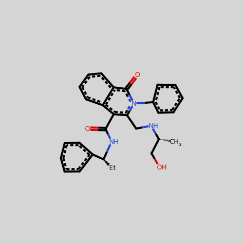 CC[C@H](NC(=O)c1c(CN[C@H](C)CO)n(-c2ccccc2)c(=O)c2ccccc12)c1ccccc1